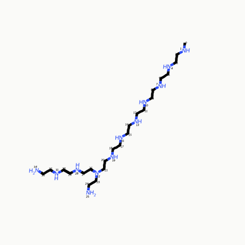 CNCCNCCNCCNCCNCCNCCNCCN(CCN)CCNCCNCCN